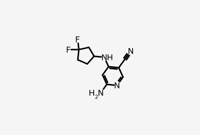 N#Cc1cnc(N)cc1NC1CCC(F)(F)C1